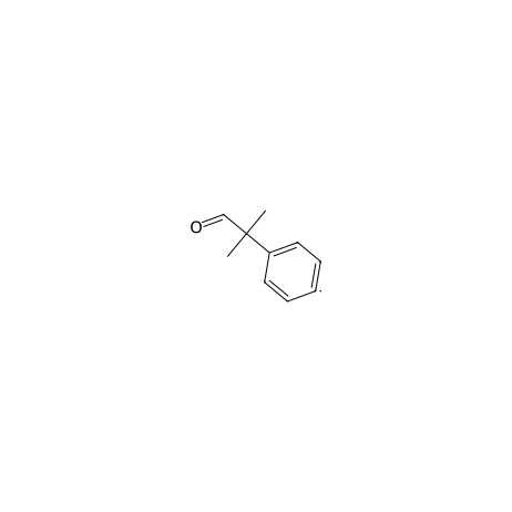 CC(C)(C=O)c1cc[c]cc1